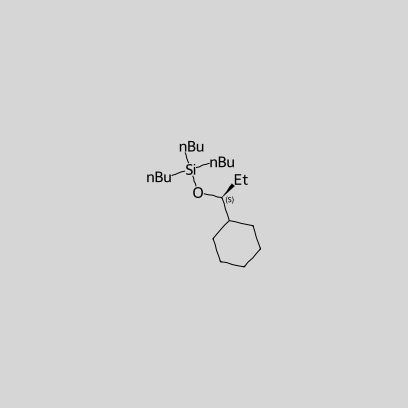 CCCC[Si](CCCC)(CCCC)O[C@@H](CC)C1CCCCC1